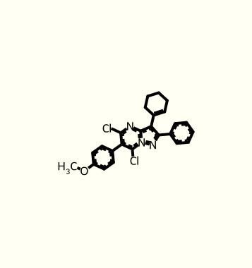 COc1ccc(-c2c(Cl)nc3c(C4=CCCCC4)c(-c4ccccc4)nn3c2Cl)cc1